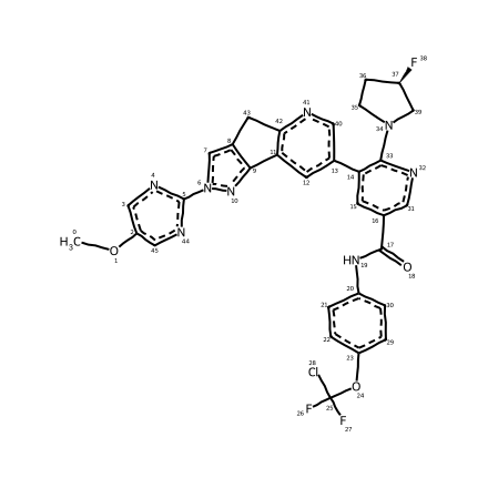 COc1cnc(-n2cc3c(n2)-c2cc(-c4cc(C(=O)Nc5ccc(OC(F)(F)Cl)cc5)cnc4N4CC[C@@H](F)C4)cnc2C3)nc1